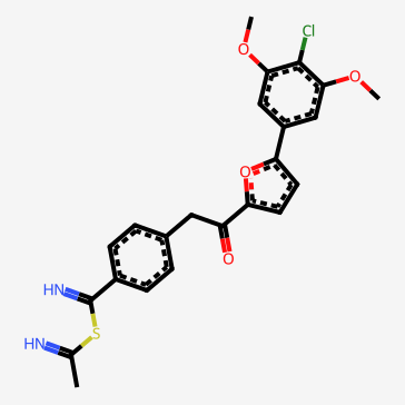 COc1cc(-c2ccc(C(=O)Cc3ccc(C(=N)SC(C)=N)cc3)o2)cc(OC)c1Cl